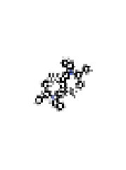 CC1(C)c2cc3c(cc2-c2cc4c(cc21)c1c2ccccc2ccc1n4-c1cc(-c2ccccc2)cc(-c2ccccc2)c1)C(C)(C)C1C=c2c(n(-c4cc(-c5ccccc5)cc(-c5ccccc5)c4)c4ccc5ccccc5c24)=CC31